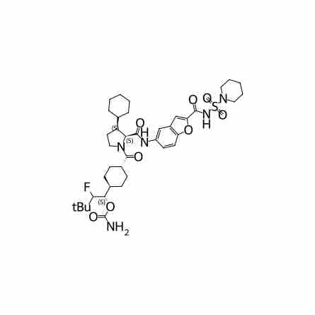 CC(C)(C)C(F)[C@@H](OC(N)=O)[C@H]1CC[C@H](C(=O)N2CC[C@@H](C3CCCCC3)[C@H]2C(=O)Nc2ccc3oc(C(=O)NS(=O)(=O)N4CCCCC4)cc3c2)CC1